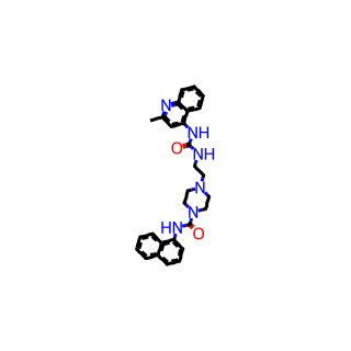 Cc1cc(NC(=O)NCCN2CCN(C(=O)Nc3cccc4ccccc34)CC2)c2ccccc2n1